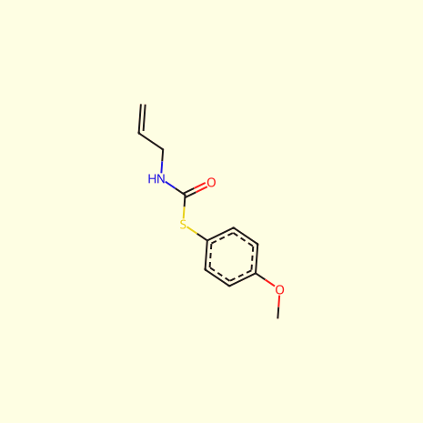 C=CCNC(=O)Sc1ccc(OC)cc1